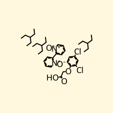 CCC(CC)CC.CCC(CC)CC.CCC(CC)CC.O=C(O)COc1ccc(Cl)cc1Cl.[O-][n+]1ccccc1-c1cccc[n+]1[O-]